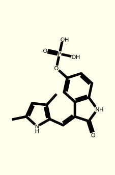 Cc1cc(C)c(C=C2C(=O)Nc3ccc(OP(=O)(O)O)cc32)[nH]1